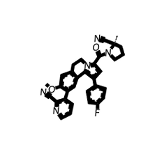 COc1cc2c(cc1-c1cccnc1C#N)-c1c(-c3ccc(F)cc3)cc(C(=O)N3CCC[C@]3(C)C#N)n1CC2